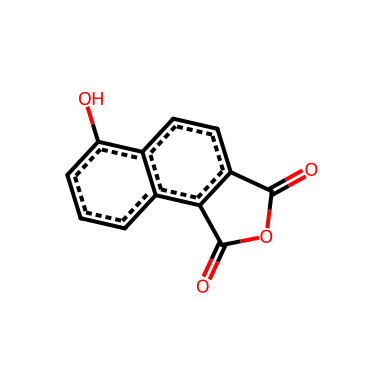 O=C1OC(=O)c2c1ccc1c(O)cccc21